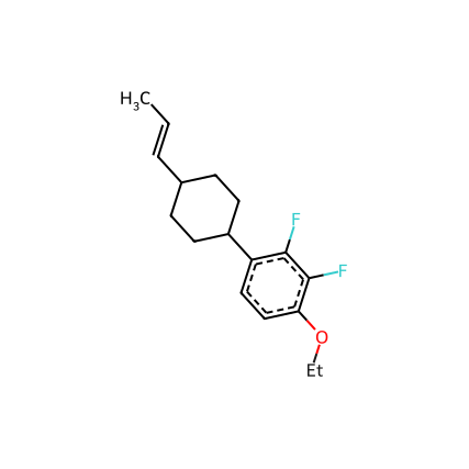 C/C=C/C1CCC(c2ccc(OCC)c(F)c2F)CC1